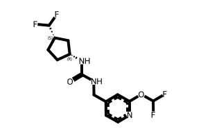 O=C(NCc1ccnc(OC(F)F)c1)N[C@@H]1CC[C@H](C(F)F)C1